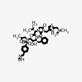 CC(C)CN(C[C@@H](O)[C@H](Cc1ccccc1)NC(=O)[C@H](C(C)C)N1CC(=O)N(Cc2csc(CN(C)C)n2)C1=O)S(=O)(=O)c1ccc(C=NO)cc1